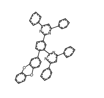 c1ccc(-c2cc(-c3ccccc3)nc(-c3ccc(-c4ccc5c(c4)Oc4ccccc4O5)c(-c4nc(-c5ccccc5)cc(-c5ccccc5)n4)c3)n2)cc1